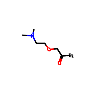 CCC(=O)COCCN(C)C